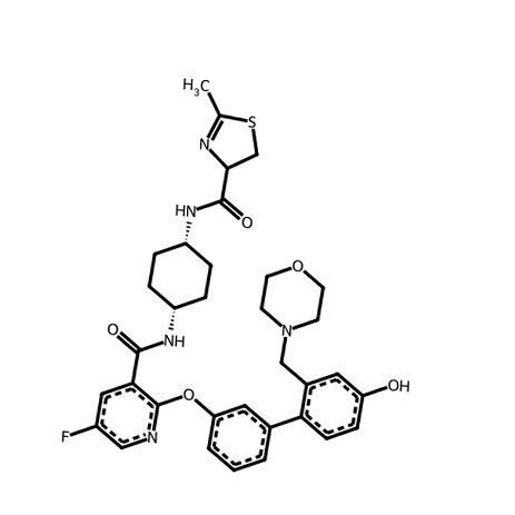 CC1=NC(C(=O)N[C@H]2CC[C@@H](NC(=O)c3cc(F)cnc3Oc3cccc(-c4ccc(O)cc4CN4CCOCC4)c3)CC2)CS1